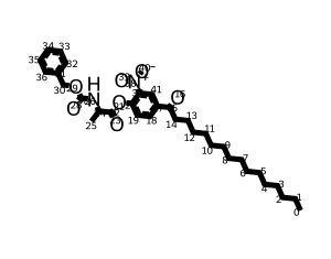 CCCCCCCCCCCCCCCC(=O)c1ccc(OC(=O)C(C)NC(=O)OCc2ccccc2)c([N+](=O)[O-])c1